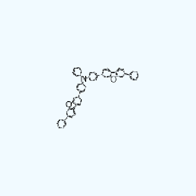 c1ccc(-c2ccc3c(c2)oc2cc(-c4ccc(N(c5ccccc5)c5ccc(-c6ccc7c(c6)oc6cc(-c8ccccc8)ccc67)cc5)cc4)ccc23)cc1